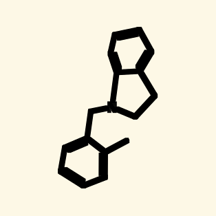 Cc1ccccc1CN1CCc2ccccc21